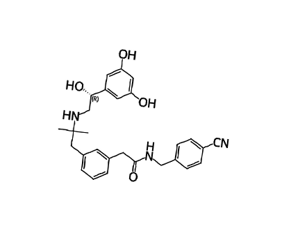 CC(C)(Cc1cccc(CC(=O)NCc2ccc(C#N)cc2)c1)NC[C@H](O)c1cc(O)cc(O)c1